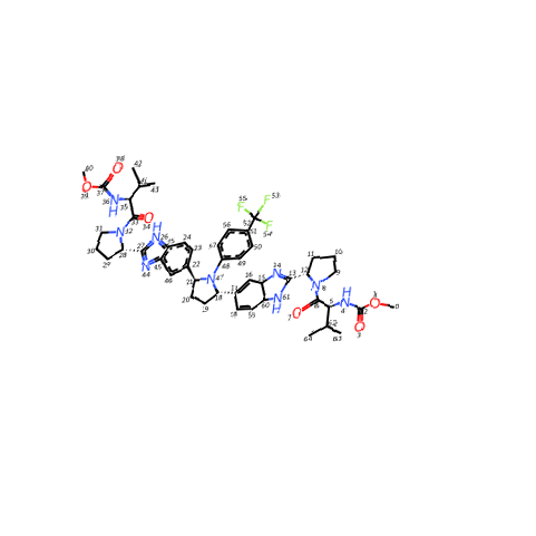 COC(=O)N[C@H](C(=O)N1CCC[C@H]1C1=NC2C=C([C@@H]3CC[C@@H](c4ccc5[nH]c([C@@H]6CCCN6C(=O)[C@@H](NC(=O)OC)C(C)C)nc5c4)N3c3ccc(C(F)(F)F)cc3)C=CC2N1)C(C)C